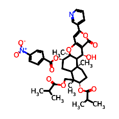 CC(C)C(=O)OCC1(C)C2C[C@H](OC(=O)c3ccc([N+](=O)[O-])cc3)[C@@]3(C)Oc4cc(-c5cccnc5)oc(=O)c4[C@H](O)C3[C@@]2(C)CC[C@@H]1OC(=O)C(C)C